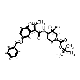 Cc1oc2ccc(OCc3ccccc3)cc2c1C(=O)NC1CCN(C(=O)OC(C)(C)C)CC1(F)F